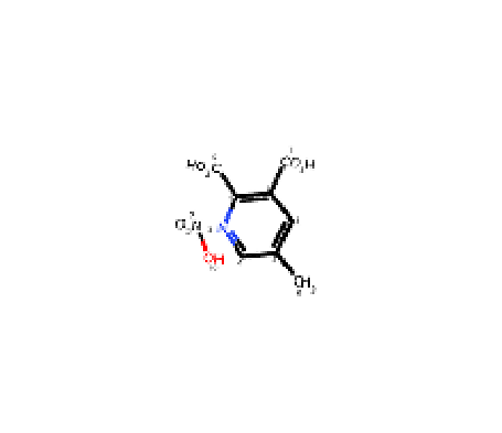 Cc1cnc(C(=O)O)c(C(=O)O)c1.O=[N+]([O-])O